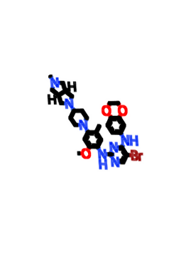 COc1cc(N2CCC(N3C[C@H]4CN(C)C[C@H]4C3)CC2)c(C)cc1Nc1ncc(Br)c(Nc2ccc3c(c2)OCCO3)n1